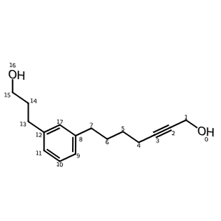 OCC#CCCCCc1cccc(CCCO)c1